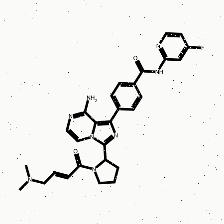 CN(C)CC=CC(=O)N1CCCC1c1nc(-c2ccc(C(=O)Nc3cc(F)ccn3)cc2)c2c(N)nccn12